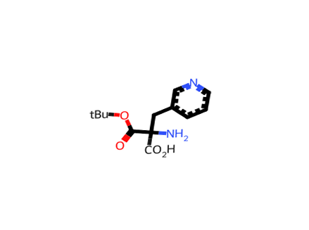 CC(C)(C)OC(=O)C(N)(Cc1cccnc1)C(=O)O